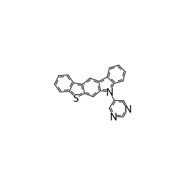 c1ccc2c(c1)sc1cc3c(cc12)c1ccccc1n3-c1cncnc1